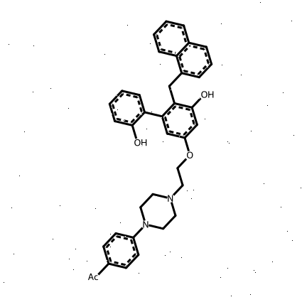 CC(=O)c1ccc(N2CCN(CCOc3cc(O)c(Cc4cccc5ccccc45)c(-c4ccccc4O)c3)CC2)cc1